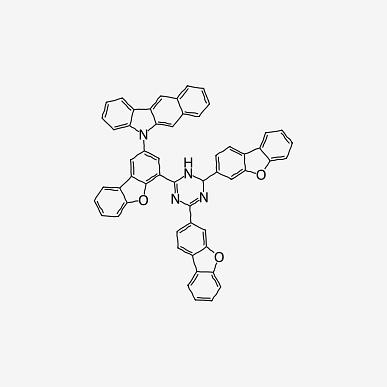 c1ccc2cc3c(cc2c1)c1ccccc1n3-c1cc(C2=NC(c3ccc4c(c3)oc3ccccc34)=NC(c3ccc4c(c3)oc3ccccc34)N2)c2oc3ccccc3c2c1